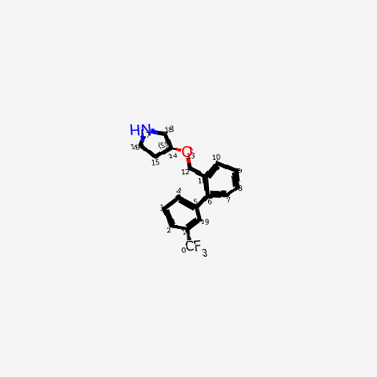 FC(F)(F)c1cccc(-c2ccccc2CO[C@H]2CCNC2)c1